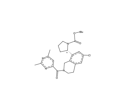 Cc1cc(C(=O)N2CCc3cc(Cl)cc([C@@H]4CCCN4C(=O)OC(C)(C)C)c3C2)nc(C)n1